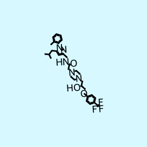 Cc1ccccc1-n1nc(CNC(=O)CN2CCN(CC(O)COc3ccc(C(F)(F)F)cc3)CC2)cc1CC(C)C